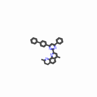 CC1=Nc2c(ccc3c(C)cc(-c4nc(-c5ccccc5)cc(-c5ccc(-c6ccccc6)cc5)n4)nc23)CC1